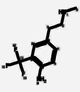 CNCCc1ccc(N)c(C(F)(F)F)c1